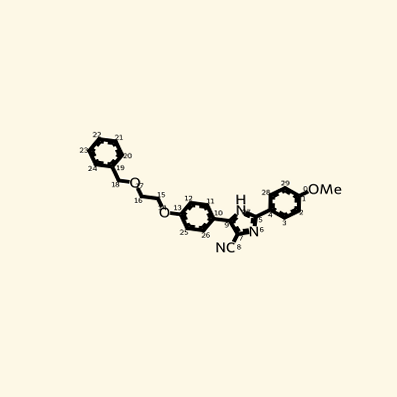 COc1ccc(-c2nc(C#N)c(-c3ccc(OCCOCc4ccccc4)cc3)[nH]2)cc1